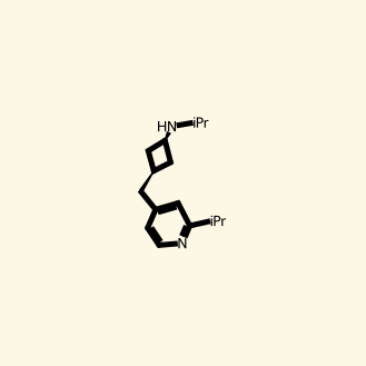 CC(C)N[C@H]1C[C@@H](Cc2ccnc(C(C)C)c2)C1